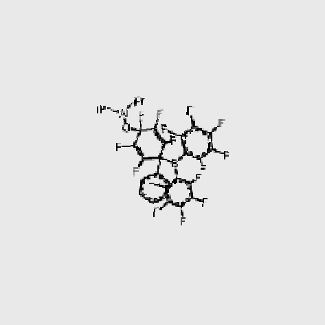 C[CH](C)[Al]([O]C1(F)C(F)=C(F)C(B(c2c(F)c(F)c(F)c(F)c2F)c2c(F)c(F)c(F)c(F)c2F)(c2ccccc2)C(F)=C1F)[CH](C)C